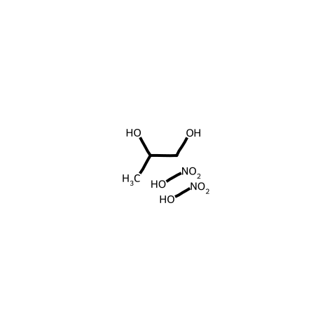 CC(O)CO.O=[N+]([O-])O.O=[N+]([O-])O